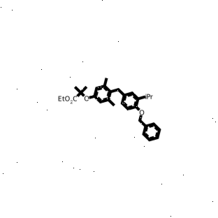 CCOC(=O)C(C)(C)Oc1cc(C)c(Cc2ccc(OCc3ccccc3)c(C(C)C)c2)c(C)c1